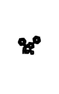 O=C(O)[C@H]1C[C@H](c2ccccc2)CN1C(=O)c1ccccc1